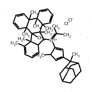 CC1=CC=CC2[CH]([Zr+2]([C]3=CC(C4(C)C5CC6CC(C5)CC4C6)=CC3C)=[C](C)C)C3(C)C4(C)C=CC=CC4(C)C4(C)C=CC=CC4(C)C3(C)C12C.[Cl-].[Cl-]